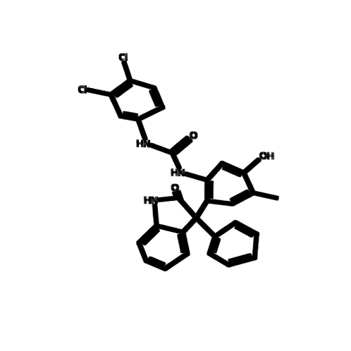 Cc1cc(C2(c3ccccc3)C(=O)Nc3ccccc32)c(NC(=O)Nc2ccc(Cl)c(Cl)c2)cc1O